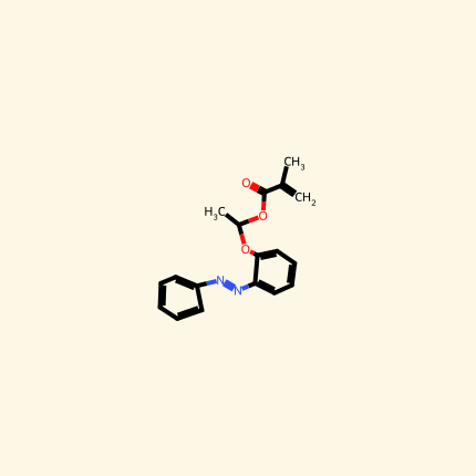 C=C(C)C(=O)OC(C)Oc1ccccc1N=Nc1ccccc1